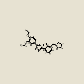 CCOc1ccc(C2NC(c3cccc(CN4CCCC4)c3C)=NO2)cc1OCC